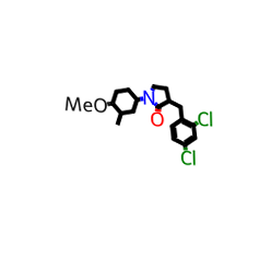 COC1CCC(N2CCC(Cc3ccc(Cl)cc3Cl)C2=O)CC1C